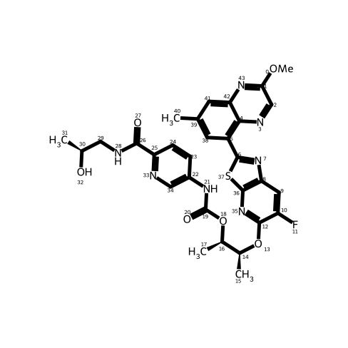 COc1cnc2c(-c3nc4cc(F)c(O[C@@H](C)[C@@H](C)OC(=O)Nc5ccc(C(=O)NC[C@H](C)O)nc5)nc4s3)cc(C)cc2n1